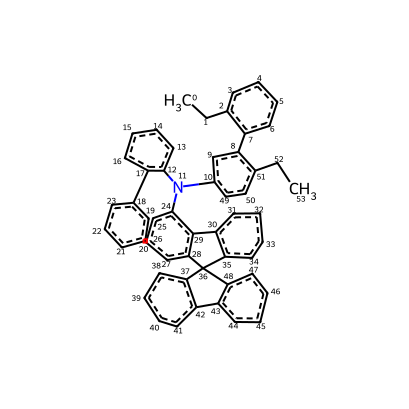 CCc1ccccc1-c1cc(N(c2ccccc2-c2ccccc2)c2cccc3c2-c2ccccc2C32c3ccccc3-c3ccccc32)ccc1CC